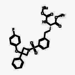 CC(C)OC(=O)[C@H](CCc1cccc(S(=O)(=O)N2CC(Oc3ccc(F)cc3)(c3ccccc3)C2)c1)NC(=O)OC(C)(C)C